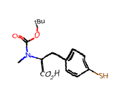 CN(C(=O)OC(C)(C)C)C(Cc1ccc(S)cc1)C(=O)O